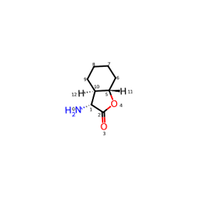 N[C@H]1C(=O)O[C@H]2CCCC[C@@H]21